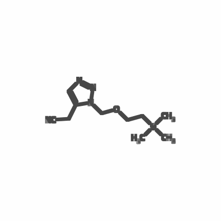 C[Si](C)(C)CCOCn1nncc1CC#N